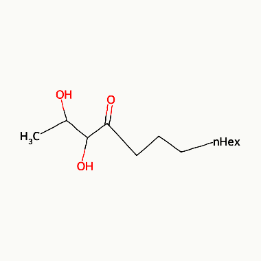 CCCCCCCCCC(=O)C(O)C(C)O